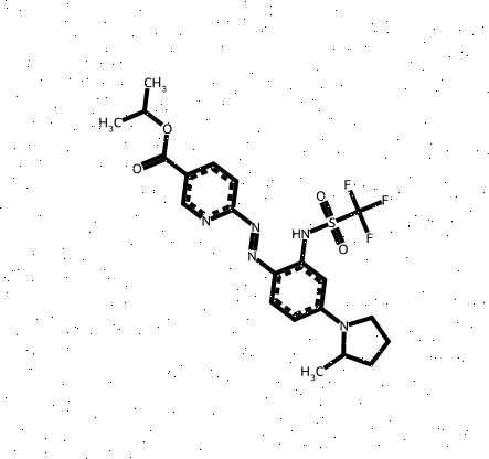 CC(C)OC(=O)c1ccc(N=Nc2ccc(N3CCCC3C)cc2NS(=O)(=O)C(F)(F)F)nc1